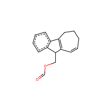 O=COCC1C2=C(CCCC=C2)c2ccccc21